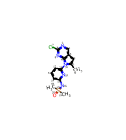 Cc1cc2cnc(Cl)nc2n1-c1cccc(N=S(C)(C)=O)n1